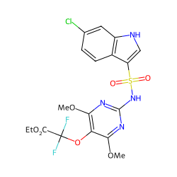 CCOC(=O)C(F)(F)Oc1c(OC)nc(NS(=O)(=O)c2c[nH]c3cc(Cl)ccc23)nc1OC